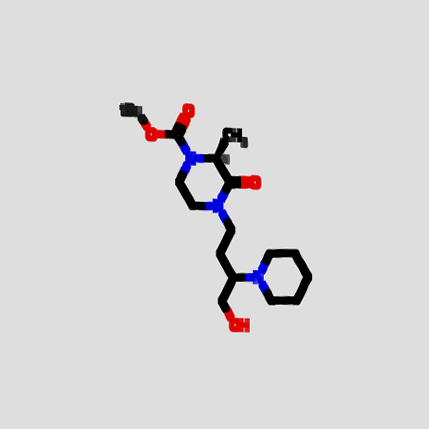 C[C@H]1C(=O)N(CCC(CO)N2CCCCC2)CCN1C(=O)OC(C)(C)C